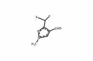 Cn1cc([C]=O)c(C(F)F)n1